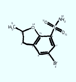 CC1Cc2cc(Br)cc(S(N)(=O)=O)c2O1